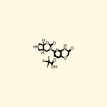 O=C(O)C(F)(F)F.O=C1COc2ccc(N3C[C@@H]4CNC[C@@H]4OC3=O)nc2N1